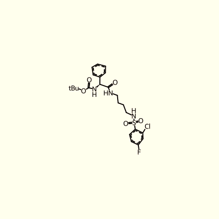 CC(C)(C)OC(=O)N[C@H](C(=O)NCCCCNS(=O)(=O)c1ccc(F)cc1Cl)c1ccccc1